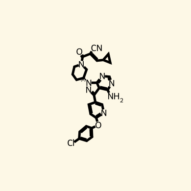 N#CC(=CC1CC1)C(=O)N1CCC[C@@H](n2nc(-c3ccc(Oc4ccc(Cl)cc4)nc3)c3c(N)ncnc32)C1